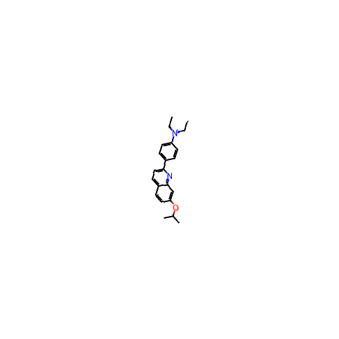 CCN(CC)c1ccc(-c2ccc3ccc(OC(C)C)cc3n2)cc1